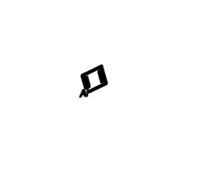 C1=[CH][Al]=[CH]1